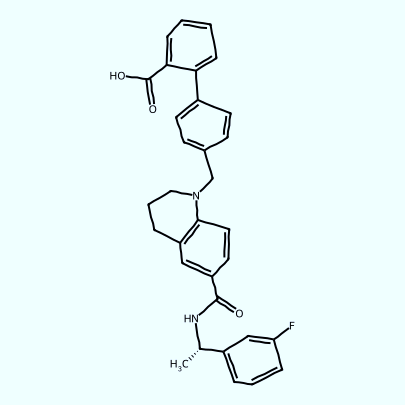 C[C@H](NC(=O)c1ccc2c(c1)CCCN2Cc1ccc(-c2ccccc2C(=O)O)cc1)c1cccc(F)c1